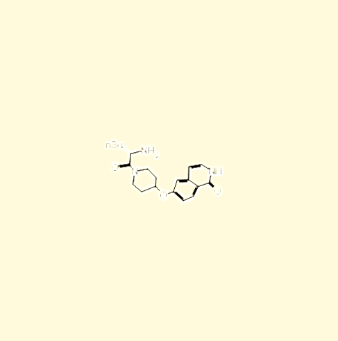 CCCC[C@H](N)C(=O)N1CCC(Oc2ccc3c(=O)[nH]ccc3c2)CC1